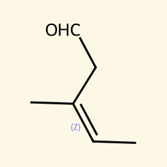 C/C=C(/C)CC=O